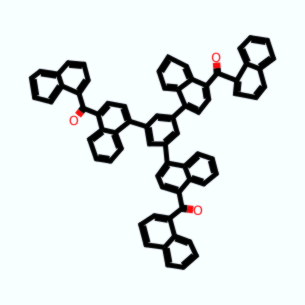 O=C(c1cccc2ccccc12)c1ccc(-c2cc(-c3ccc(C(=O)c4cccc5ccccc45)c4ccccc34)cc(-c3ccc(C(=O)c4cccc5ccccc45)c4ccccc34)c2)c2ccccc12